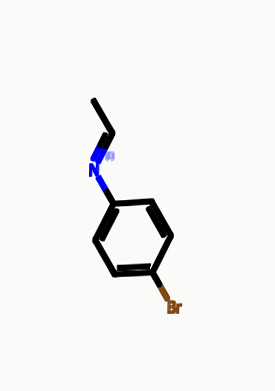 C/C=N/c1ccc(Br)cc1